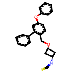 S=C=N[C@H]1C[C@H](OCc2ccc(Oc3ccccc3)cc2-c2ccccc2)C1